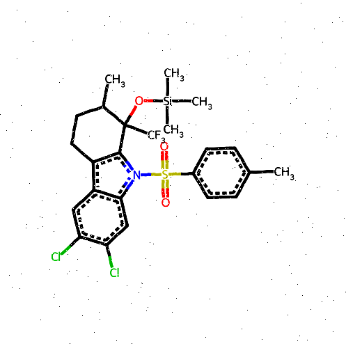 Cc1ccc(S(=O)(=O)n2c3c(c4cc(Cl)c(Cl)cc42)CCC(C)C3(O[Si](C)(C)C)C(F)(F)F)cc1